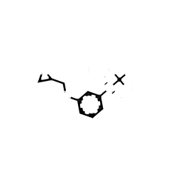 CC(C)(C(=O)O)S(=O)(=O)c1cccc(OCC2CO2)c1